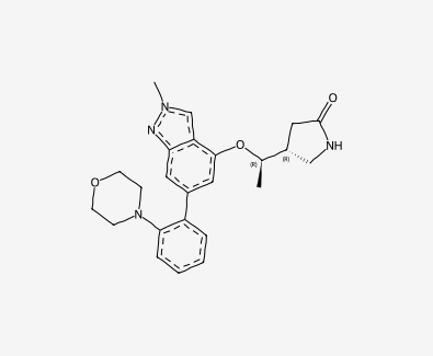 C[C@@H](Oc1cc(-c2ccccc2N2CCOCC2)cc2nn(C)cc12)[C@H]1CNC(=O)C1